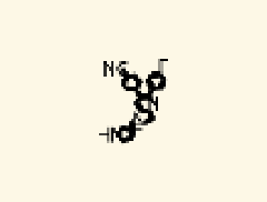 N#Cc1ccc(-c2cc3c(ccn3CC3(F)CCNC3)nc2-c2ccc(F)cc2)cc1